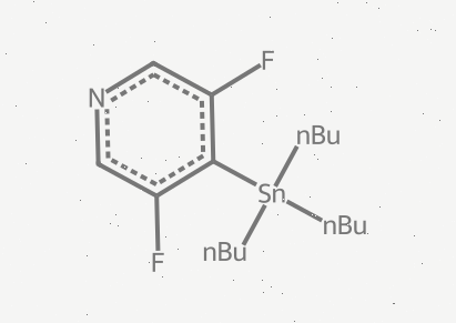 CCC[CH2][Sn]([CH2]CCC)([CH2]CCC)[c]1c(F)cncc1F